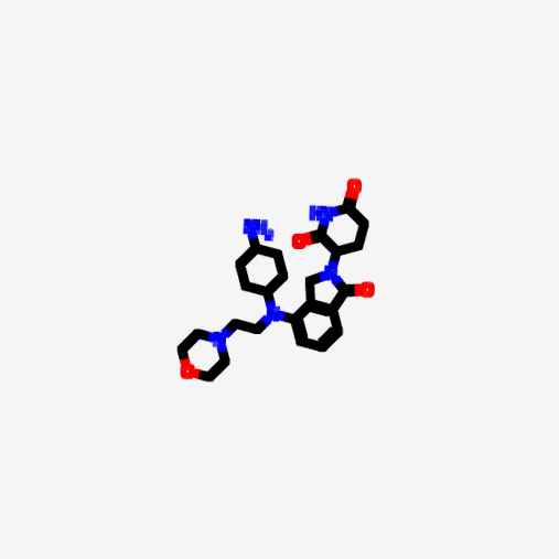 NC1CCC(N(CCN2CCOCC2)c2cccc3c2CN(C2CCC(=O)NC2=O)C3=O)CC1